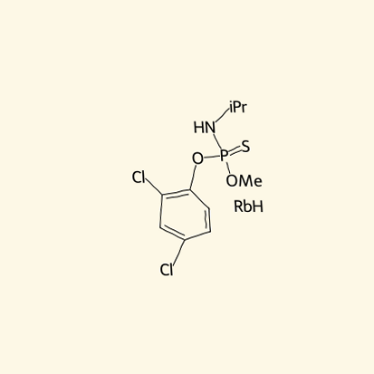 COP(=S)(NC(C)C)Oc1ccc(Cl)cc1Cl.[RbH]